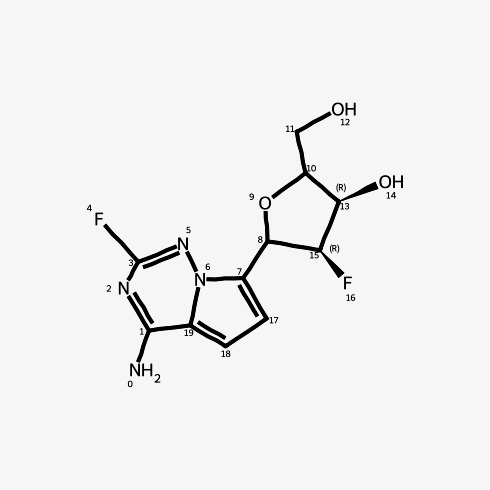 Nc1nc(F)nn2c(C3OC(CO)[C@@H](O)[C@H]3F)ccc12